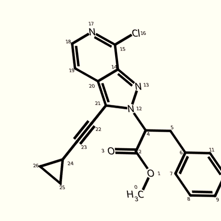 COC(=O)C(Cc1ccccc1)n1nc2c(Cl)nccc2c1C#CC1CC1